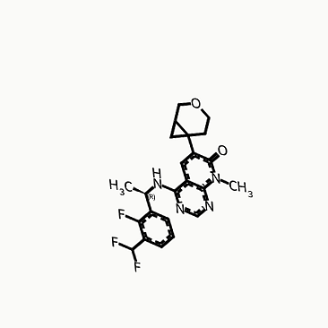 C[C@@H](Nc1ncnc2c1cc(C13CCOCC1C3)c(=O)n2C)c1cccc(C(F)F)c1F